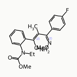 CCN(C(=O)OC)c1ccccc1/C(ON)=C(C)/C(=N\OC)c1ccc(F)cc1